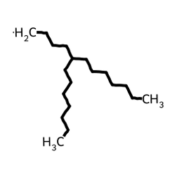 [CH2]CCCC(CCCCCCC)CCCCCCC